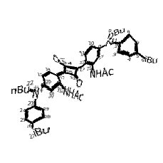 CCCCN(c1ccc(C(C)CC)cc1)c1ccc(C2=C([O-])/C(=C3C=C/C(=[N+](\CCCC)c4ccc(C(C)CC)cc4)C=C\3NC(C)=O)C2=O)c(NC(C)=O)c1